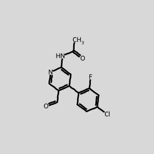 CC(=O)Nc1cc(-c2ccc(Cl)cc2F)c(C=O)cn1